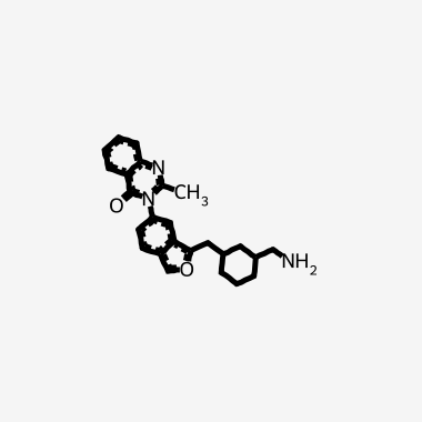 Cc1nc2ccccc2c(=O)n1-c1ccc2coc(CC3CCCC(CN)C3)c2c1